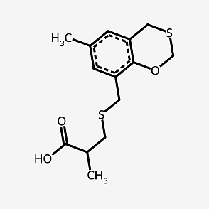 Cc1cc2c(c(CSCC(C)C(=O)O)c1)OCSC2